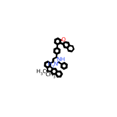 CC1(C)c2cc3ccccc3cc2-c2c(/C=C/C(NC(N)c3ccccc3)c3ccc(-c4cccc5oc6cc7c(cc6c45)C=CCC7)cc3)cccc21